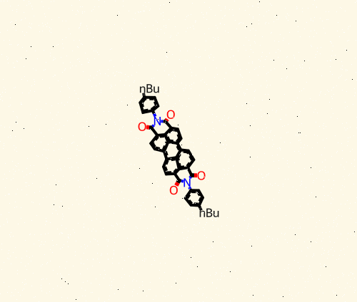 CCCCc1ccc(N2C(=O)c3ccc4c5ccc6c7c(ccc(c8ccc(c3c48)C2=O)c75)C(=O)N(c2ccc(CCCC)cc2)C6=O)cc1